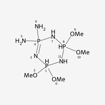 CO[PH]1(OC)N=P(N)(N)N[PH](OC)(OC)N1